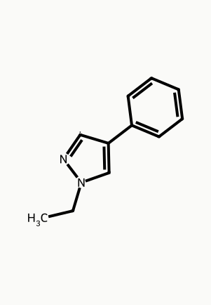 CCn1cc(-c2ccccc2)[c]n1